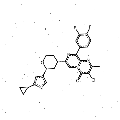 Cc1nc2c(-c3ccc(F)c(F)c3)nc([C@H]3CCO[C@H](c4cnn(C5CC5)c4)C3)cn2c(=O)c1Cl